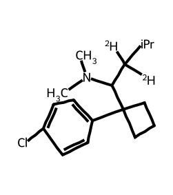 [2H]C([2H])(C(C)C)C(N(C)C)C1(c2ccc(Cl)cc2)CCC1